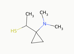 CC(S)C1(N(C)C)CC1